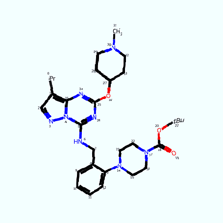 CC(C)c1cnn2c(NCc3ccccc3N3CCN(C(=O)OC(C)(C)C)CC3)nc(OC3CCN(C)CC3)nc12